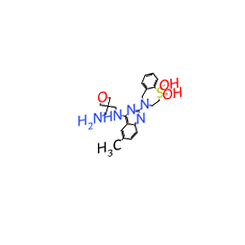 Cc1ccc2nc(N3CCS(O)(O)c4ccccc4C3)nc(NCC3(CN)COC3)c2c1